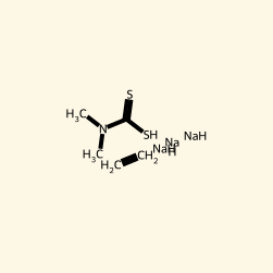 C=C.CN(C)C(=S)S.[NaH].[NaH].[NaH]